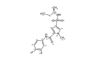 CC[C@@H](C)NS(=O)(=O)c1cc(C(=O)Nc2ccc(F)c(F)c2)n(C)c1